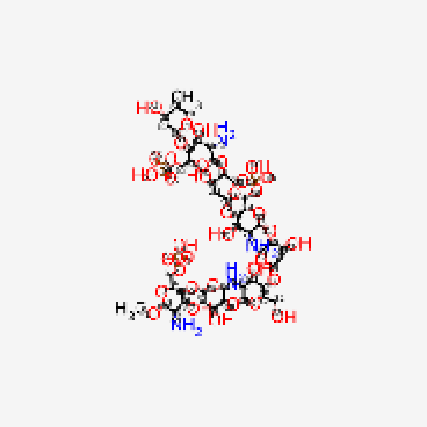 CO[C@H]1OC(COS(=O)(=O)O)[C@@H](O[C@H]2C[C@H](O)[C@@H](O[C@H]3OC(CO)[C@@H](O[C@H]4C[C@H](O)C(OC5OC(COS(=O)(=O)O)[C@@H](O[C@H]6C[C@H](O)[C@@H](O[C@@H]7OC(COS(=O)(=O)O)[C@@H](O[C@H]8C[C@H](O)[C@H](C)CO8)[C@H](O)C7N)CO6)[C@H](O)C5N)CO4)[C@H](O)C3N)CO2)[C@H](O)C1N